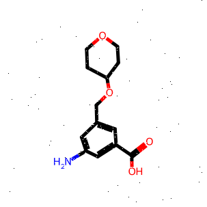 Nc1cc(COC2CCOCC2)cc(C(=O)O)c1